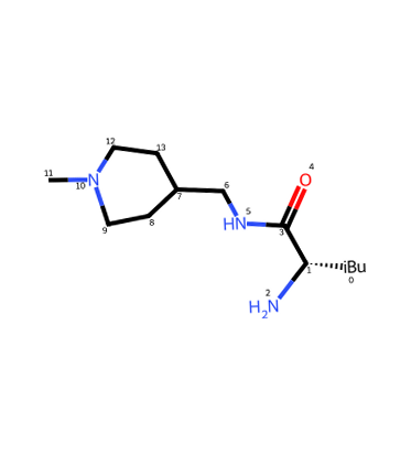 CCC(C)[C@H](N)C(=O)NCC1CCN(C)CC1